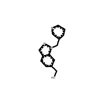 OCc1ccc2cnn(Cc3cccnc3)c2c1